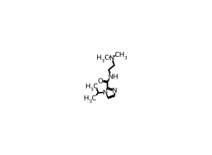 CC(C)n1ccnc1C(=O)NCCN(C)C